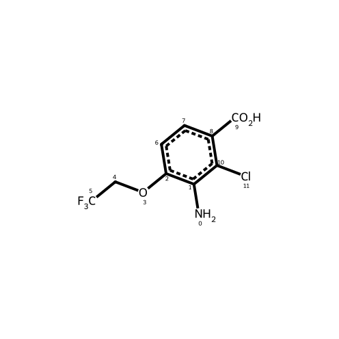 Nc1c(OCC(F)(F)F)ccc(C(=O)O)c1Cl